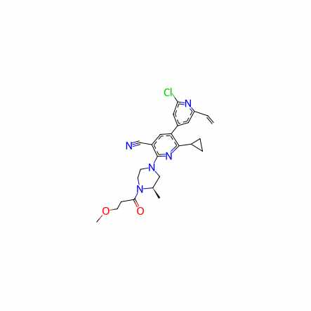 C=Cc1cc(-c2cc(C#N)c(N3CCN(C(=O)CCOC)[C@H](C)C3)nc2C2CC2)cc(Cl)n1